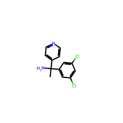 CC(N)(c1ccncc1)c1cc(Cl)cc(Cl)c1